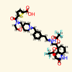 O=C(O)c1ccc(C(=O)N2CCOC3(CCN(Cc4cccc(CCNCC(OC(=O)C(F)(F)F)C5(OC(=O)C(F)(F)F)CC=Cc6[nH]c(=O)ccc65)c4)CC3)C2)s1